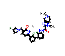 COc1nc(-c2cccc(-c3cccc(NC(=O)c4nc5c(n4C)CCN(C)C5)c3Cl)c2Cl)ccc1CN1CC[C@@H](F)C1